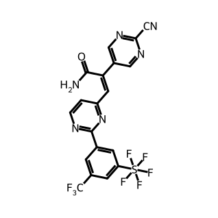 N#Cc1ncc(/C(=C/c2ccnc(-c3cc(C(F)(F)F)cc(S(F)(F)(F)(F)F)c3)n2)C(N)=O)cn1